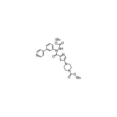 CC(C)(C)OC(=O)NN(C(=O)c1ncc(N2CCN(C(=O)OC(C)(C)C)CC2)s1)c1cccc(-c2ccncc2)c1